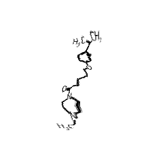 CCN1CCN(C(=O)CCCCOc2ccc(C(C)C)cc2)CC1